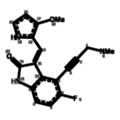 CNCC#Cc1c(F)ccc2c1C(=Cc1[nH]ccc1OC)C(=O)N2